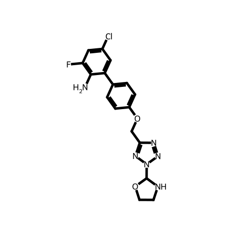 Nc1c(F)cc(Cl)cc1-c1ccc(OCc2nnn(C3NCCO3)n2)cc1